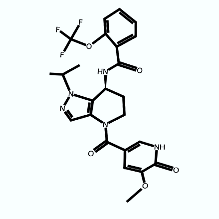 COc1cc(C(=O)N2CC[C@H](NC(=O)c3ccccc3OC(F)(F)F)c3c2cnn3C(C)C)c[nH]c1=O